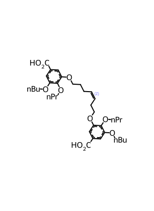 CCCCOc1cc(C(=O)O)cc(OCC/C=C\CCCOc2cc(C(=O)O)cc(OCCCC)c2OCCC)c1OCCC